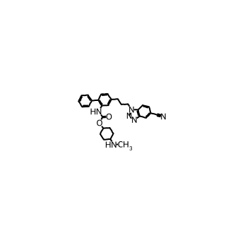 CNC1CCC(OC(=O)Nc2cc(CCCn3nnc4cc(C#N)ccc43)ccc2-c2ccccc2)CC1